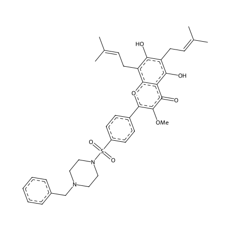 COc1c(-c2ccc(S(=O)(=O)N3CCN(Cc4ccccc4)CC3)cc2)oc2c(CC=C(C)C)c(O)c(CC=C(C)C)c(O)c2c1=O